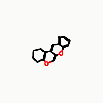 C1=C2Oc3ccccc3C=C2C2=C(CCCC2)O1